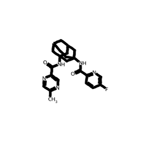 Cc1cnc(C(=O)NC23CC4CC(CC(NC(=O)c5ccc(F)cn5)(C4)C2)C3)cn1